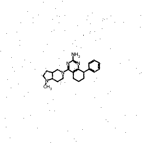 CN1CCC2CN(c3nc(N)nc4c3CCCC4c3ccccc3)CCC21